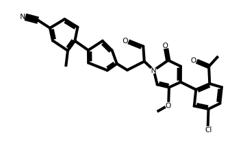 COc1cn(C(C=O)Cc2ccc(-c3ccc(C#N)cc3C)cc2)c(=O)cc1-c1cc(Cl)ccc1C(C)=O